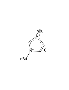 CCCCn1cc[n+](CCCC)c1.[Cl-]